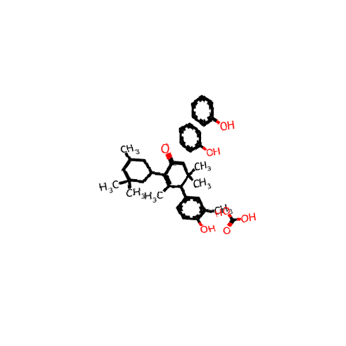 CC1=C(C2CC(C)CC(C)(C)C2)C(=O)CC(C)(C)C1c1ccc(O)c(C)c1.O=C(O)O.Oc1ccccc1.Oc1ccccc1